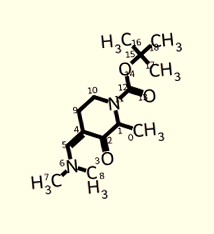 CC1C(=O)/C(=C\N(C)C)CCN1C(=O)OC(C)(C)C